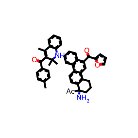 CC(=O)C1(N)CCCc2c1ccc1c2cc(C(=O)c2ccco2)c2ccccc21.CC1=C(C(=O)c2ccc(C)cc2)C(C)(C)Nc2ccccc21